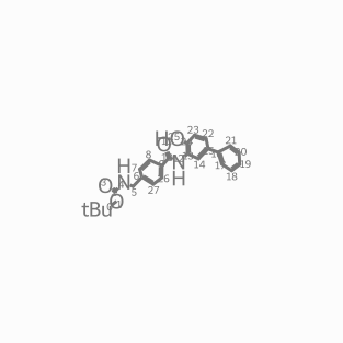 CC(C)(C)OC(=O)NCc1ccc(C(=O)Nc2cc(-c3ccccc3)ccc2O)cc1